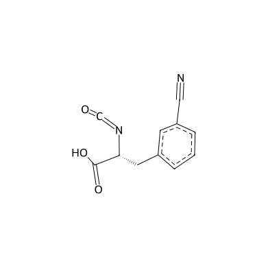 N#Cc1cccc(C[C@@H](N=C=O)C(=O)O)c1